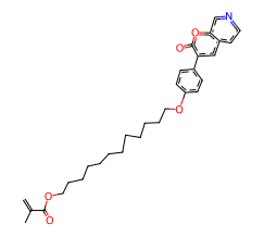 C=C(C)C(=O)OCCCCCCCCCCCCOc1ccc(-c2cc3ccncc3oc2=O)cc1